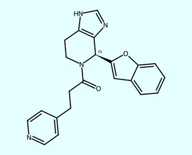 O=C(CCc1ccncc1)N1CCc2[nH]cnc2[C@H]1c1cc2ccccc2o1